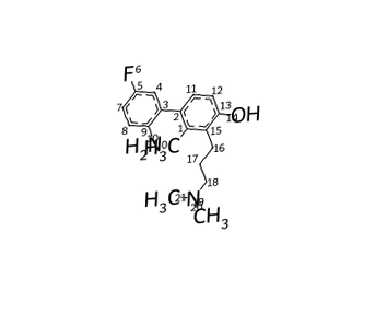 Cc1c(-c2cc(F)ccc2N)ccc(O)c1CCCN(C)C